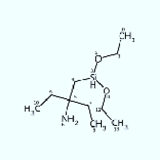 CCO[SiH](CC(N)(CC)CC)OCC